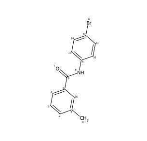 Cc1cccc(C(=O)Nc2ccc(Br)cc2)c1